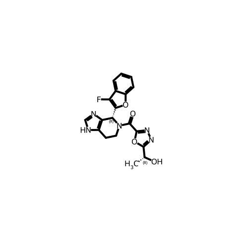 C[C@@H](O)c1nnc(C(=O)N2CCc3[nH]cnc3[C@@H]2c2oc3ccccc3c2F)o1